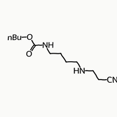 CCCCOC(=O)NCCCCNCCC#N